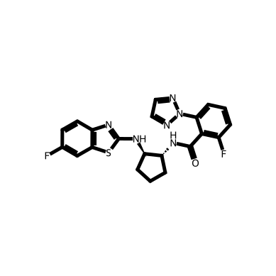 O=C(N[C@@H]1CCC[C@H]1Nc1nc2ccc(F)cc2s1)c1c(F)cccc1-n1nccn1